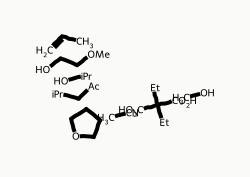 C1CCOC1.C=CC.CC#N.CC(=O)CC(C)C.CC(C)O.CCC(CC)(C(=O)O)C(=O)O.CO.COCCO